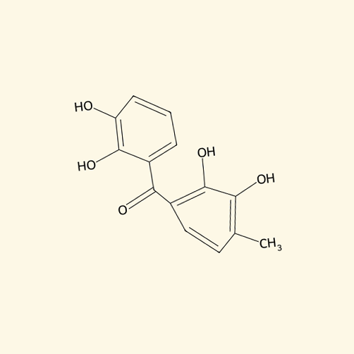 Cc1ccc(C(=O)c2cccc(O)c2O)c(O)c1O